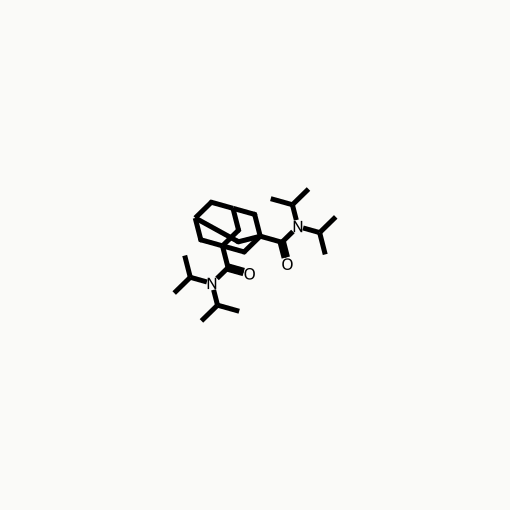 CC(C)N(C(=O)C12CC3CC(C1)CC(C(=O)N(C(C)C)C(C)C)(C3)C2)C(C)C